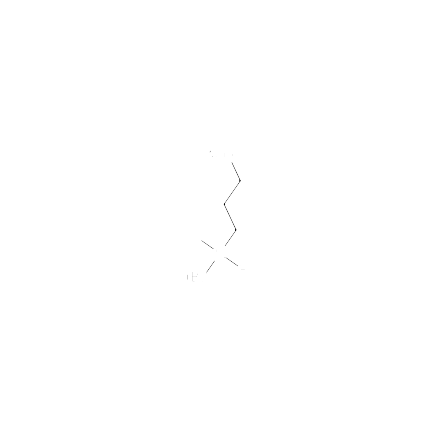 CC(=O)OCCC[Si](F)(F)C(C)(C)C